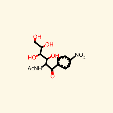 CC(=O)NC(C(=O)c1ccc([N+](=O)[O-])cc1)C(O)C(O)C(O)CO